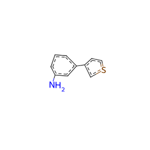 Nc1cccc(-c2ccsc2)c1